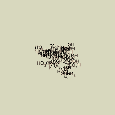 Nc1nc2ncc(CNc3ccc(C(=O)N[C@@H](CCC(=O)N[C@@H](C(=O)N[C@@H](CCC(=O)O)C(=O)N[C@@H](C(=O)N[C@@H](CCC(=O)O)C(=O)N[C@@H](C(=O)N[C@@H](CCC(=O)O)C(=O)N[C@@H](C(=O)N[C@@H](CS)C(=O)O)[C@@H](O)[C@H](O)[C@H](O)CO)[C@@H](O)[C@H](O)[C@H](O)CO)[C@@H](O)[C@H](O)[C@H](O)CO)[C@@H](O)[C@H](O)[C@H](O)CO)C(=O)O)cc3)nc2c(=O)[nH]1